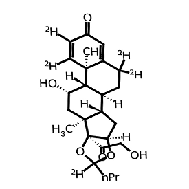 [2H]C1=C([2H])[C@@]2(C)C(=CC1=O)C([2H])([2H])C[C@@H]1[C@@H]2[C@@H](O)C[C@@]2(C)[C@H]1C[C@H]1OC([2H])(CCC)O[C@]12C(=O)CO